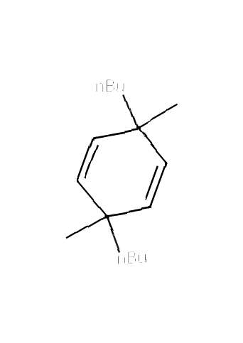 CCCCC1(C)C=CC(C)(CCCC)C=C1